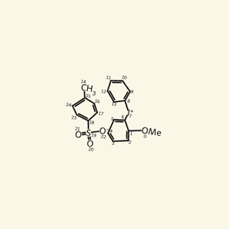 COc1ccccc1[I+]c1ccccc1.Cc1ccc(S(=O)(=O)[O-])cc1